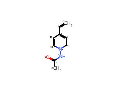 C=CC1=CCN(NC(C)=O)C=C1